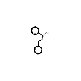 C[C@H]([N]Cc1ccccc1)c1ccccc1